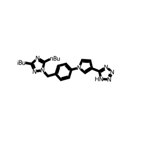 CCCCc1nc(C(C)CC)nn1Cc1ccc(-n2ccc(-c3nnn[nH]3)c2)cc1